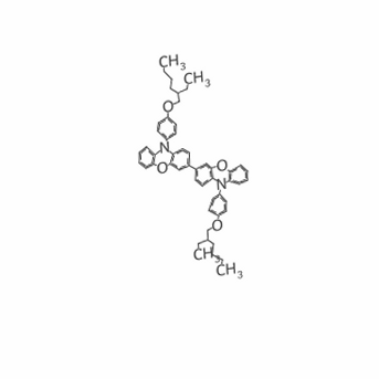 CCCCC(CC)COc1ccc(N2c3ccccc3Oc3cc(-c4ccc5c(c4)Oc4ccccc4N5c4ccc(OCC(CC)CCCC)cc4)ccc32)cc1